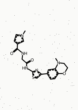 CN1CCOc2ccc(-c3csc(NC(=O)CNC(=O)c4ccn(C)c4)n3)cc21